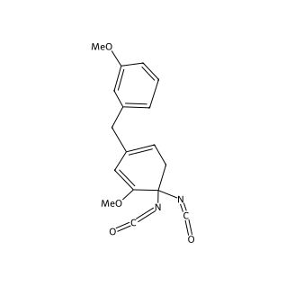 COC1=CC(Cc2cccc(OC)c2)=CCC1(N=C=O)N=C=O